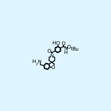 CC(C)(C)ONC(=O)c1ccc(C(=O)N2CCC3(CC2)COc2ccc(CN)cc23)cc1O